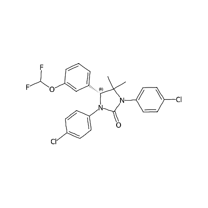 CC1(C)[C@@H](c2cccc(OC(F)F)c2)N(c2ccc(Cl)cc2)C(=O)N1c1ccc(Cl)cc1